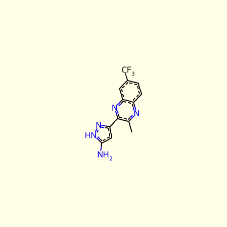 Cc1nc2ccc(C(F)(F)F)cc2nc1-c1cc(N)[nH]n1